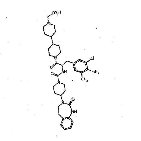 Nc1c(Cl)cc(C[C@@H](NC(=O)N2CCC(N3CCc4ccccc4NC3=O)CC2)C(=O)N2CCC(C3CCN(CC(=O)O)CC3)CC2)cc1C(F)(F)F